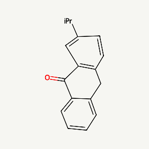 CC(C)c1ccc2c(c1)C(=O)c1ccccc1C2